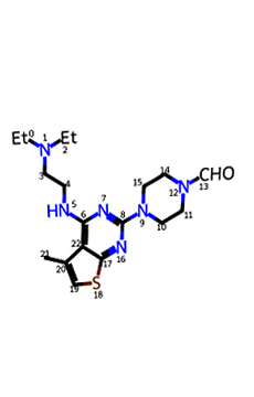 CCN(CC)CCNc1nc(N2CCN(C=O)CC2)nc2scc(C)c12